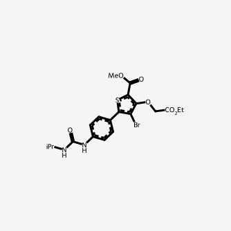 CCOC(=O)COc1c(C(=O)OC)sc(-c2ccc(NC(=O)NC(C)C)cc2)c1Br